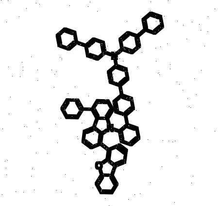 c1cc2c(oc3ccccc32)c(-c2cccc3c4c(-c5ccccc5)cccc4n(-c4ccccc4-c4ccc(-c5ccc(N(c6ccc(-c7ccccc7)cc6)c6ccc(-c7ccccc7)cc6)cc5)cc4)c23)c#1